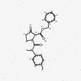 Cc1ccc(N(C)C(=O)C2CCC(=O)N2C(=O)OCc2ccccc2)cc1